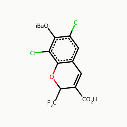 CC(C)COc1c(Cl)cc2c(c1Cl)OC(C(F)(F)F)C(C(=O)O)=C2